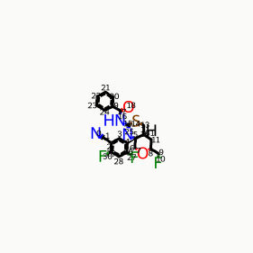 N#Cc1cc([C@]23COC(CF)C[C@H]2CSC(NC(=O)c2ccccc2)=N3)c(F)cc1F